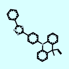 C=CC1(C)c2ccccc2N(c2ccc(-c3nnc(-c4ccccc4)s3)cc2)c2ccccc21